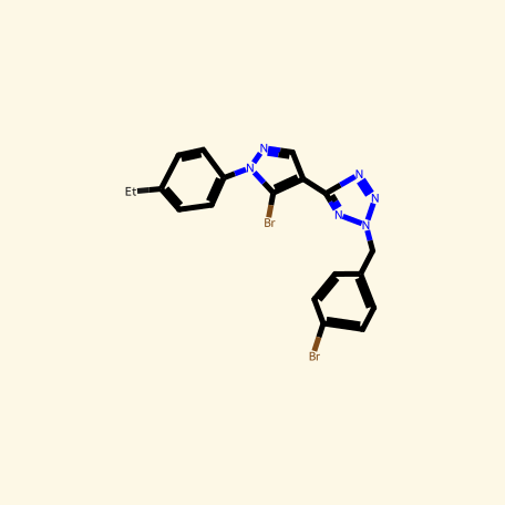 CCc1ccc(-n2ncc(-c3nnn(Cc4ccc(Br)cc4)n3)c2Br)cc1